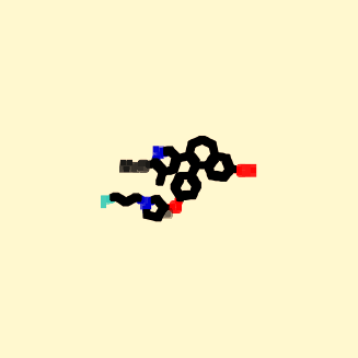 COc1ncc(C2=C(c3ccc(O[C@H]4CCN(CCCF)C4)cc3)c3ccc(O)cc3CCC2)cc1C